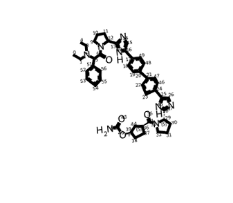 CCN(CC)C(C(=O)N1CCCC1c1ncc(-c2ccc(-c3ccc(-c4cnc([C@@H]5CCCN5C(=O)[C@H]5CC[C@@H](OC(N)=O)C5)[nH]4)cc3)cc2)[nH]1)c1ccccc1